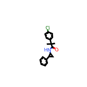 CC(C)(C(=O)NC1CC1c1ccccc1)c1ccc(Cl)cc1